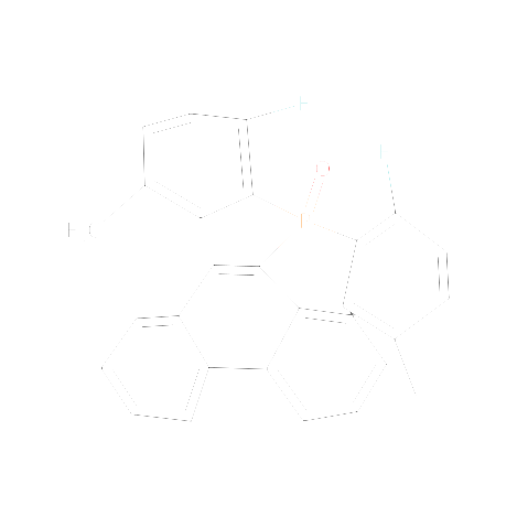 Cc1ccc(F)c(P(=O)(c2cc(C(F)(F)F)ccc2F)c2cc3ccccc3c3ccccc23)c1